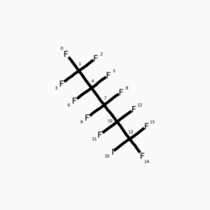 FC(F)(F)C(F)(F)C(F)(F)C(F)(F)C(F)(F)I